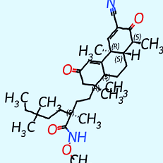 CCC(C)(C)CC[C@@](C)(CC[C@]1(C)CC(=O)C=C2[C@@]3(C)C=C(C#N)C(=O)[C@@H](C)[C@@H]3CC[C@]21C)C(=O)NOC